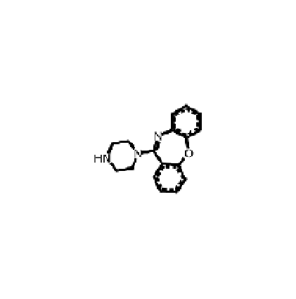 c1ccc2c(c1)N=C(N1CCNCC1)c1ccccc1O2